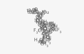 CN(C(=O)N(c1nn(CC(F)(F)F)c2c(-c3ccc(C#CC(C)(C)S(C)(=O)=O)nc3[C@H](Cc3cc(F)cc(F)c3)NC(=O)Cn3nc(C(F)(F)F)c4c3C(F)(F)[C@@H]3C[C@H]43)ccc(Cl)c12)S(C)(=O)=O)c1ncccc1CN(CC(=O)OC(C)(C)C)C(=O)OCOP(=O)(OC(C)(C)C)OC(C)(C)C